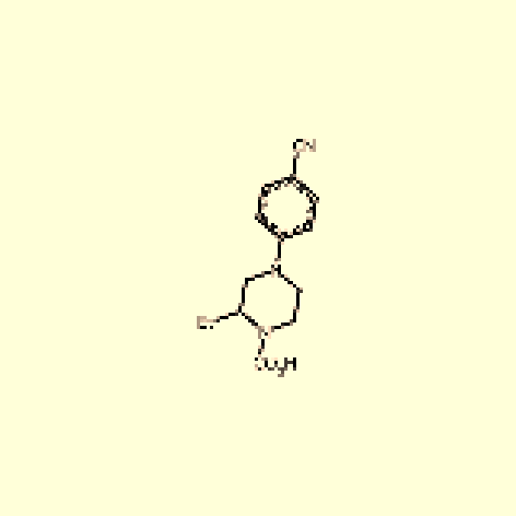 CCC1CN(c2ccc(C#N)cc2)CCN1C(=O)O